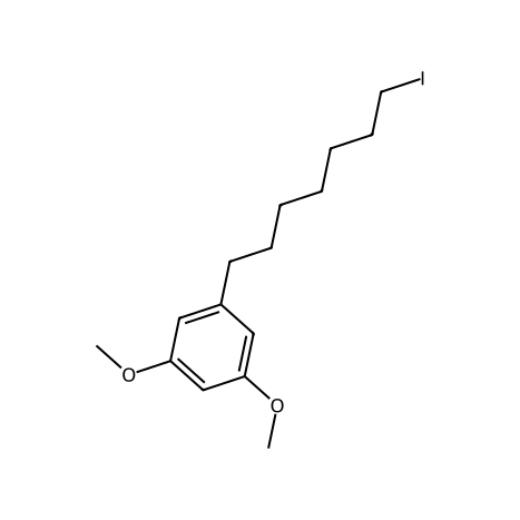 COc1cc(CCCCCCCI)cc(OC)c1